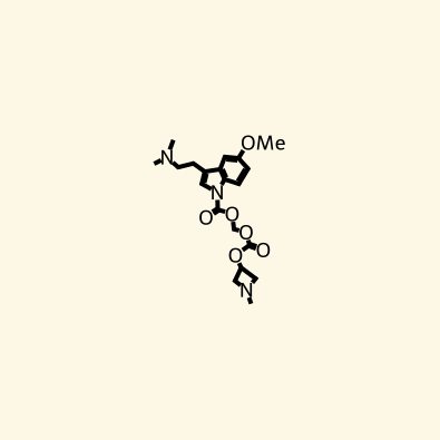 COc1ccc2c(c1)c(CCN(C)C)cn2C(=O)OCOC(=O)OC1CN(C)C1